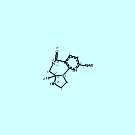 CSc1ccc2c(n1)N1CCN[C@@H]1CNC2=O